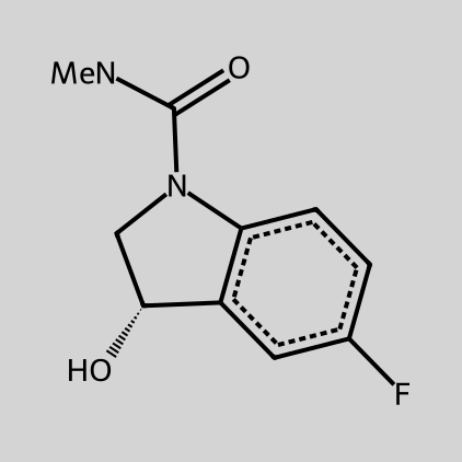 CNC(=O)N1C[C@@H](O)c2cc(F)ccc21